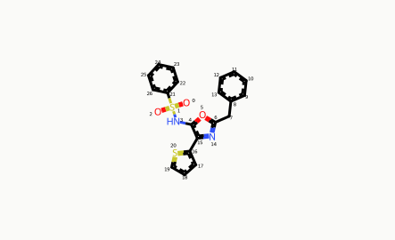 O=S(=O)(Nc1oc(Cc2ccccc2)nc1-c1cccs1)c1ccccc1